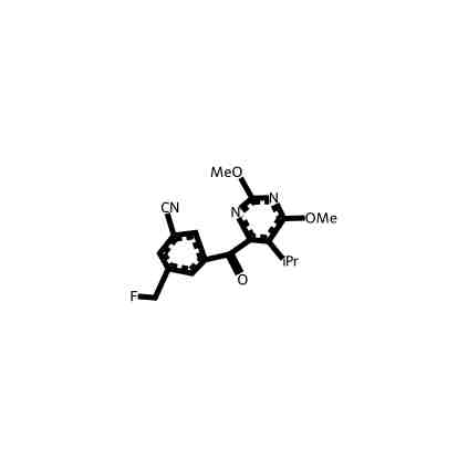 COc1nc(OC)c(C(C)C)c(C(=O)c2cc(C#N)cc(CF)c2)n1